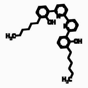 CCCCCCc1cccc(-c2cccc(-c3cccc(-c4cccc(CCCCCC)c4O)n3)n2)c1O